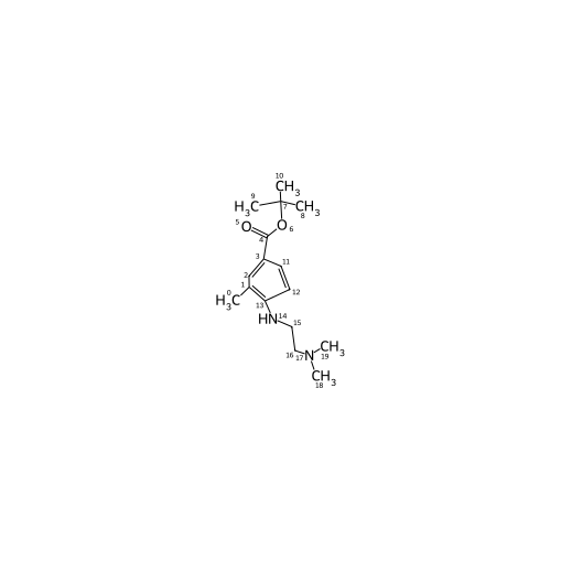 Cc1cc(C(=O)OC(C)(C)C)ccc1NCCN(C)C